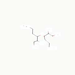 CCCCCCCCCCCCC(OC(CCCCCCCCCCCC)C(O)CO)C(O)CO